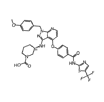 COc1ccc(Cn2nc(N[C@@H]3CCCN(C(=O)O)C3)c3c(Oc4ccc(C(=O)Nc5ncc(C(F)(F)F)s5)cc4)ccnc32)cc1